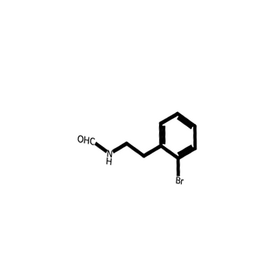 O=CNCCc1ccccc1Br